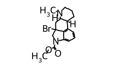 COC(=O)N1CC2(Br)C[C@@H]3[C@H](CCCN3C)c3cccc1c32